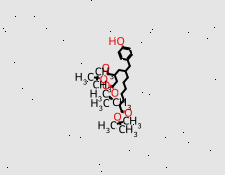 CC(C)(C)OC(=O)CCCCCCC(Cc1ccc(O)cc1)CC(CC(=O)OC(C)(C)C)C(=O)OC(C)(C)C